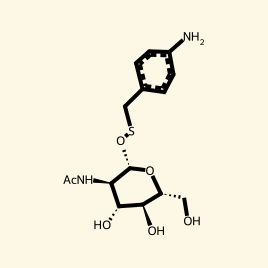 CC(=O)N[C@H]1[C@H](OSCc2ccc(N)cc2)O[C@H](CO)[C@@H](O)[C@@H]1O